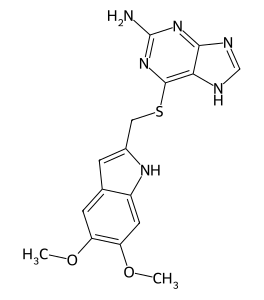 COc1cc2cc(CSc3nc(N)nc4nc[nH]c34)[nH]c2cc1OC